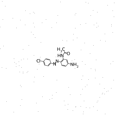 CC(=O)Nc1cc(N)ccc1/N=N/c1ccc(Cl)cc1